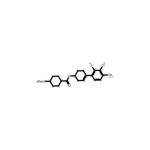 CCCCCC1CCC(C(=O)OC2CC=C(c3ccc(C)c(Cl)c3F)CC2)CC1